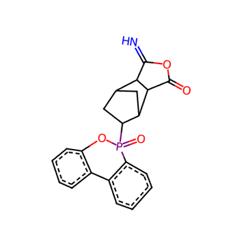 N=C1OC(=O)C2C3CC(CC3P3(=O)Oc4ccccc4-c4ccccc43)C12